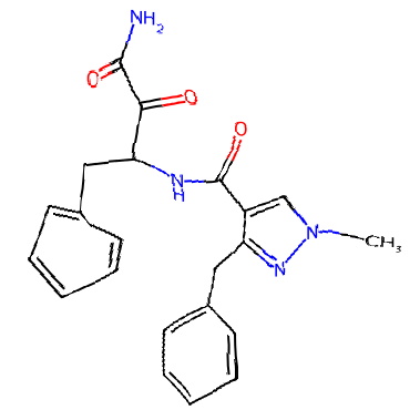 Cn1cc(C(=O)NC(Cc2ccccc2)C(=O)C(N)=O)c(Cc2ccccc2)n1